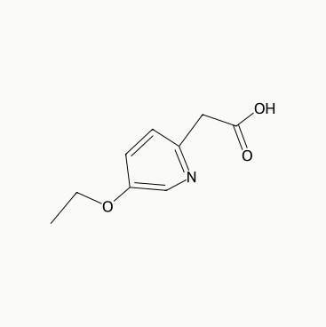 CCOc1ccc(CC(=O)O)nc1